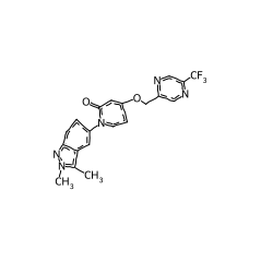 Cc1c2cc(-n3ccc(OCc4cnc(C(F)(F)F)cn4)cc3=O)ccc2nn1C